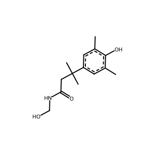 Cc1cc(C(C)(C)CC(=O)NCO)cc(C)c1O